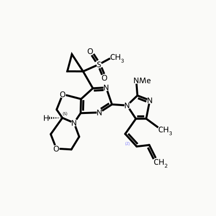 C=C/C=C\c1c(C)nc(NC)n1-c1nc2c(c(C3(S(C)(=O)=O)CC3)n1)OC[C@@H]1COCCN21